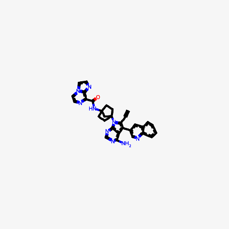 C#Cc1c(-c2cnc3ccccc3c2)c2c(N)ncnc2n1C12CCC(NC(=O)c3nccn4ccnc34)(CC1)C2